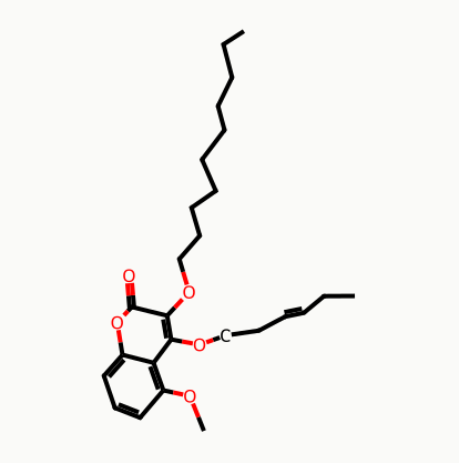 CCC=CCCOc1c(OCCCCCCCCCC)c(=O)oc2cccc(OC)c12